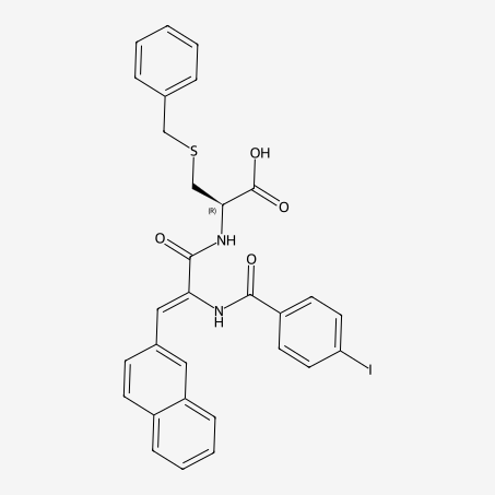 O=C(N[C@@H](CSCc1ccccc1)C(=O)O)C(=Cc1ccc2ccccc2c1)NC(=O)c1ccc(I)cc1